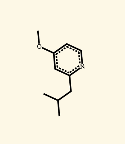 COc1ccnc(CC(C)C)c1